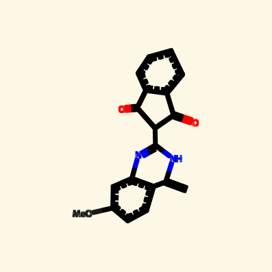 C=C1NC(C2C(=O)c3ccccc3C2=O)=Nc2cc(OC)ccc21